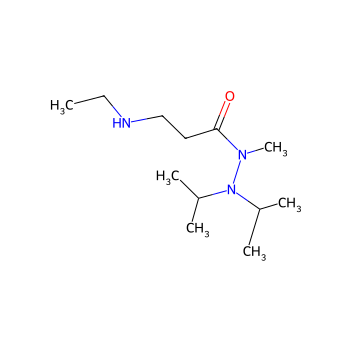 CCNCCC(=O)N(C)N(C(C)C)C(C)C